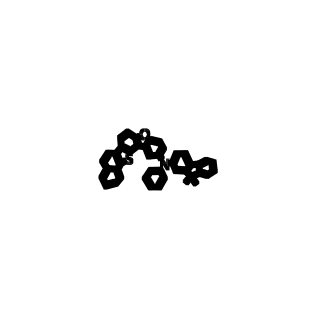 CC1(C)c2ccccc2-c2ccc(N(c3ccccc3)c3ccc4oc5ccc6c7ccc8ccccc8c7sc6c5c4c3)cc21